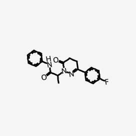 CC(C(=O)Nc1ccccc1)N1N=C(c2ccc(F)cc2)CCC1=O